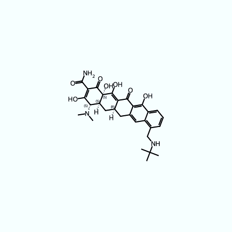 CN(C)[C@@H]1C(O)=C(C(N)=O)C(=O)[C@@]2(O)C(O)=C3C(=O)c4c(cc5c(CNC(C)(C)C)cccc5c4O)C[C@H]3C[C@@H]12